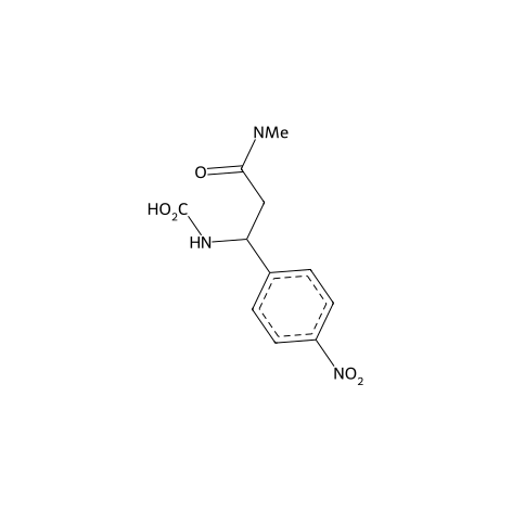 CNC(=O)CC(NC(=O)O)c1ccc([N+](=O)[O-])cc1